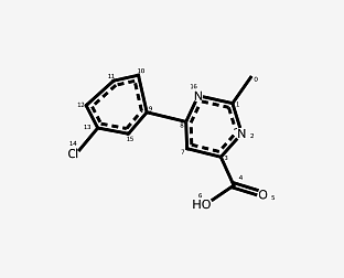 Cc1nc(C(=O)O)cc(-c2cccc(Cl)c2)n1